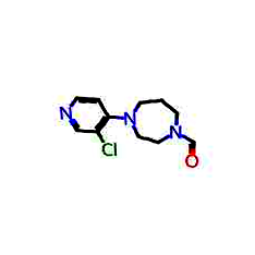 O=CN1CCCN(c2ccncc2Cl)CC1